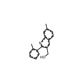 Cc1ccc2cc(CO)c(-c3ccccc3C)nc2c1